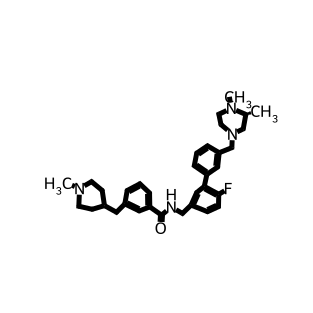 C[C@H]1CN(Cc2cccc(-c3cc(CNC(=O)c4cccc(CC5CCN(C)CC5)c4)ccc3F)c2)CCN1C